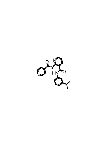 CC(C)c1cccc(NC(=O)c2cccnc2SC(=O)c2ccncc2)c1